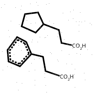 O=C(O)CCC1CCCC1.O=C(O)CCc1ccccc1